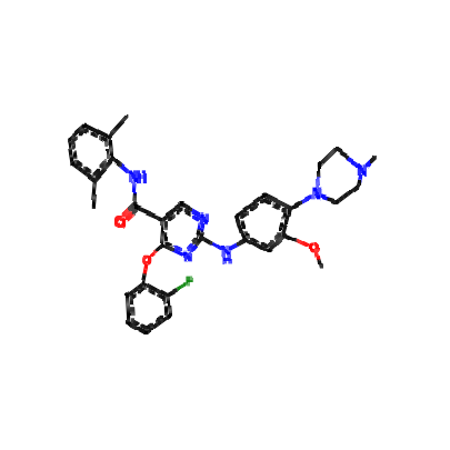 COc1cc(Nc2ncc(C(=O)Nc3c(C)cccc3C)c(Oc3ccccc3F)n2)ccc1N1CCN(C)CC1